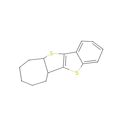 c1ccc2c3c(sc2c1)C1CCCCCC1S3